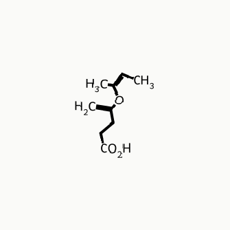 C=C(CCC(=O)O)O/C(C)=C\C